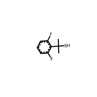 CC(C)(S)c1c(F)cccc1F